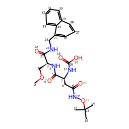 COC[C@H](NC(=O)[C@H](CC(=O)NOC(C)(C)C)NC(=O)O)C(=O)NCc1cccc2ccccc12